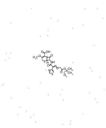 COC1=C(C(=O)O)N2C(=O)C(NC(=O)C(=NOCC(=O)OC(C)(C)C)c3cscn3)[C@@H]2SC1